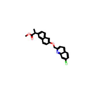 COC(=O)C(C)c1ccc2cc(OCc3ccc4ccc(Cl)cc4n3)ccc2c1